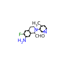 Cc1ccncc1N1CCc2cc(F)c(N)cc2C1C=O